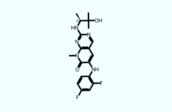 C[C@H](Nc1ncc2cc(Nc3ccc(F)cc3F)c(=O)n(C)c2n1)C(C)(C)O